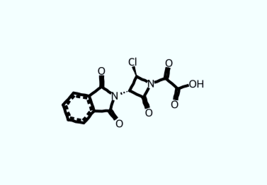 O=C(O)C(=O)N1C(=O)[C@H](N2C(=O)c3ccccc3C2=O)[C@H]1Cl